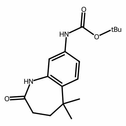 CC(C)(C)OC(=O)Nc1ccc2c(c1)NC(=O)CCC2(C)C